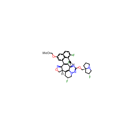 C#Cc1c(F)ccc2cc(OCOC)cc(C3=C(F)C4=NC(OC[C@@]56CCCN5C[C@H](F)C6)=NN5C[C@H](F)CC(=C45)[C@@H]4CON=C34)c12